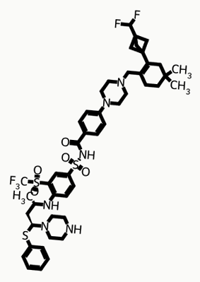 C[C@H](C[C@H](Sc1ccccc1)N1CCNCC1)Nc1ccc(S(=O)(=O)NC(=O)c2ccc(N3CCN(CC4=C(C56CC(C(F)F)(C5)C6)CC(C)(C)CC4)CC3)cc2)cc1S(=O)(=O)C(F)(F)F